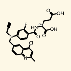 C#CCN(Cc1ccc2nc(C)cc(Cl)c2c1)c1ccc(C(=O)N[C@@H](CCC(=O)O)C(=O)O)c(F)c1